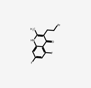 Cc1[nH]c2cc(F)cc(F)c2c(=O)c1CCC(C)C